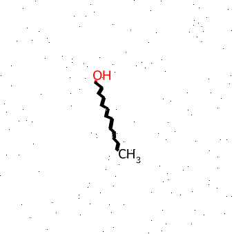 CC=CC=CC=CC=CC=CC=CCO